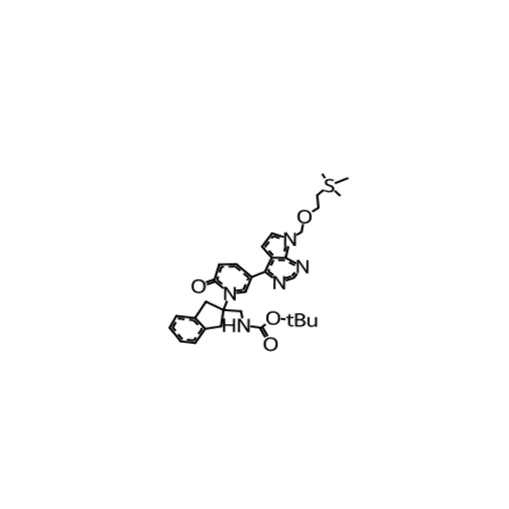 CC(C)(C)OC(=O)NCC1(n2cc(-c3ncnc4c3ccn4COCCS(C)(C)C)ccc2=O)Cc2ccccc2C1